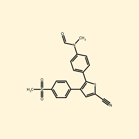 CN(C=O)c1ccc(-c2sc(C#N)cc2-c2ccc(S(C)(=O)=O)cc2)cc1